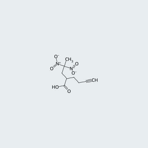 C#CCCC(CC(C)([N+](=O)[O-])[N+](=O)[O-])C(=O)O